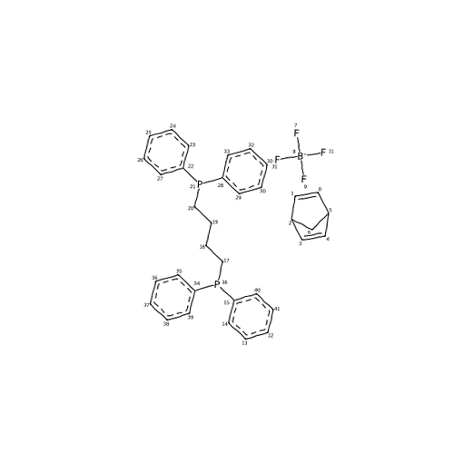 C1=CC2C=CC1C2.F[B-](F)(F)F.c1ccc(P(CCCCP(c2ccccc2)c2ccccc2)c2ccccc2)cc1